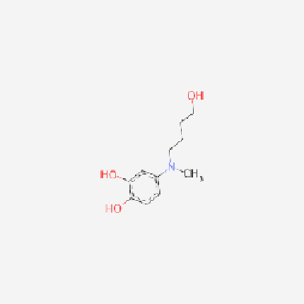 CN(CCCCO)c1ccc(O)c(O)c1